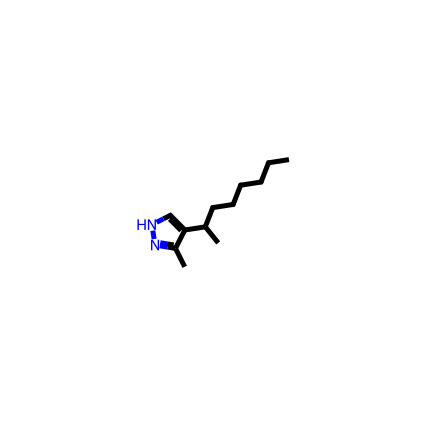 CCCCCCC(C)c1c[nH]nc1C